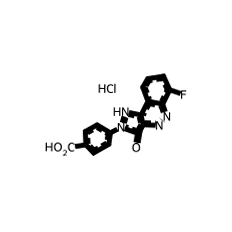 Cl.O=C(O)c1ccc(-n2[nH]c3c(nnc4c(F)cccc43)c2=O)cc1